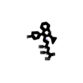 O=C(O)[C@H](O)C[C@H](O)/C=C/c1c(C2CC2)nc2ccccc2c1-c1ccc(F)cc1